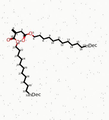 C=C(CC(=O)OCCCCCCCCCCCCCCCCCCCCC)C(=O)OCCCCCCCCCCCCCCCCCCCCC